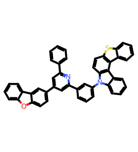 c1ccc(-c2cc(-c3ccc4oc5ccccc5c4c3)cc(-c3cccc(-n4c5ccccc5c5c6c(ccc54)sc4ccccc46)c3)n2)cc1